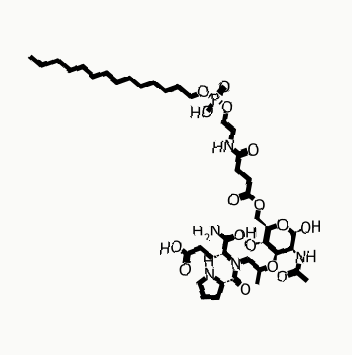 CCCCCCCCCCCCCCOP(=O)(O)OCCNC(=O)CCC(=O)OC[C@H]1O[C@H](O)[C@H](NC(C)=O)[C@@H](OC(C)CN(C(=O)[C@@H]2CCCN2)[C@H](CCC(=O)O)C(N)=O)[C@@H]1O